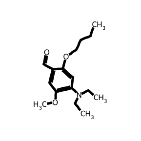 CCCCOc1cc(N(CC)CC)c(OC)cc1C=O